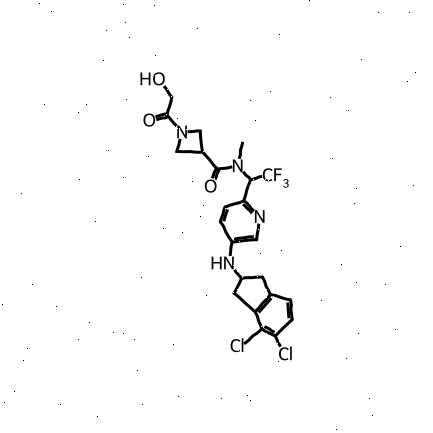 CN(C(=O)C1CN(C(=O)CO)C1)C(c1ccc(NC2Cc3ccc(Cl)c(Cl)c3C2)cn1)C(F)(F)F